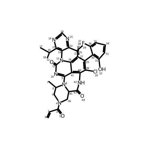 C=CC(=O)N1CC(C)N2c3nc(=O)n(-c4c(C(C)C)ncnc4C(C)C)c4c(F)c(-c5c(O)cccc5F)c(Cl)c(c34)NC(=O)C2C1